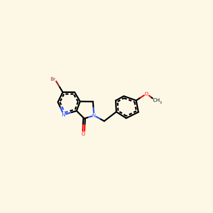 COc1ccc(CN2Cc3cc(Br)cnc3C2=O)cc1